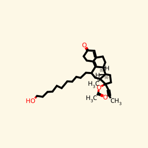 CC#CC1(OC(C)=O)CC[C@H]2[C@@H]3CCC4=CC(=O)CCC4=C3C(CCCCCCCCCCCO)C[C@@]21C